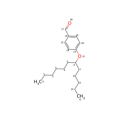 CCCCCCC(CCCCC)Oc1ccc(C=O)cc1